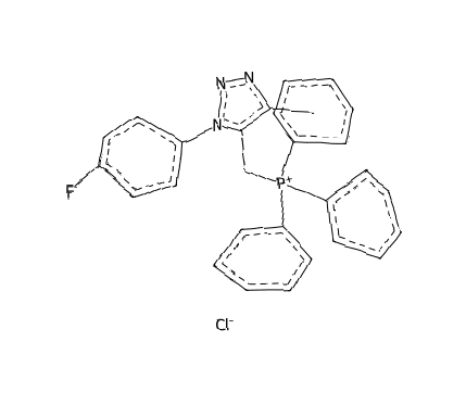 Cc1nnn(-c2ccc(F)cc2)c1C[P+](c1ccccc1)(c1ccccc1)c1ccccc1.[Cl-]